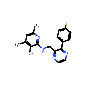 N#Cc1c(C(F)(F)F)cc(C(F)(F)F)nc1NCc1nccnc1-c1ccc(F)cc1